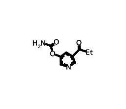 CCC(=O)c1cncc(OC(N)=O)c1